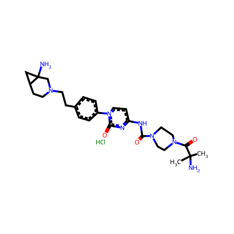 CC(C)(N)C(=O)N1CCN(C(=O)Nc2ccn(-c3ccc(CCN4CCC5CC5(N)C4)cc3)c(=O)n2)CC1.Cl